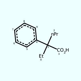 [CH2]CC(CCC)(C(=O)O)c1ccccc1